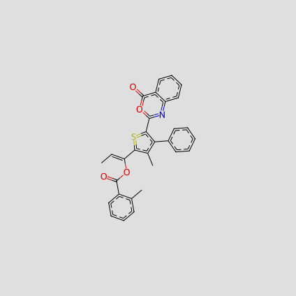 CC=C(OC(=O)c1ccccc1C)c1sc(-c2nc3ccccc3c(=O)o2)c(-c2ccccc2)c1C